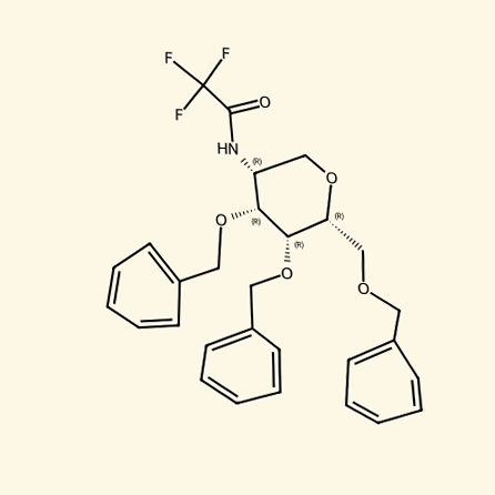 O=C(N[C@@H]1CO[C@H](COCc2ccccc2)[C@H](OCc2ccccc2)[C@@H]1OCc1ccccc1)C(F)(F)F